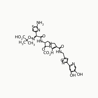 CC(C)(ON=C(C(=O)NC1CN2CC(C(=O)NCc3cc(-c4cc(O)c(O)cn4)no3)=C(C(=O)O)N2C1=O)c1csc(N)n1)C(=O)O